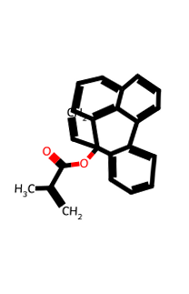 C=CC1(OC(=O)C(=C)C)c2ccccc2-c2cccc3cccc1c23